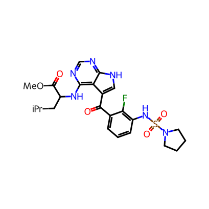 COC(=O)C(CC(C)C)Nc1ncnc2[nH]cc(C(=O)c3cccc(NS(=O)(=O)N4CCCC4)c3F)c12